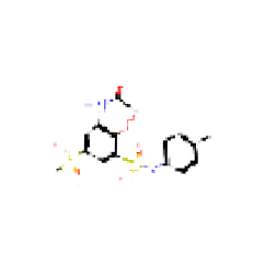 Cc1ccc(NS(=O)(=O)c2cc(S(C)(=O)=O)cc3c2OCC(=O)N3)cc1